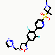 CN1CC(C)(S(=O)(=O)c2ccc(-c3c(F)cc(C4=NO[C@@H](Cn5ccnn5)C4)cc3F)cn2)C1